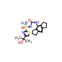 CC(C)(O)c1csc([S@](N)(=O)=NC(=O)Nc2c3c(cc4c2CCC4)CCC3)n1